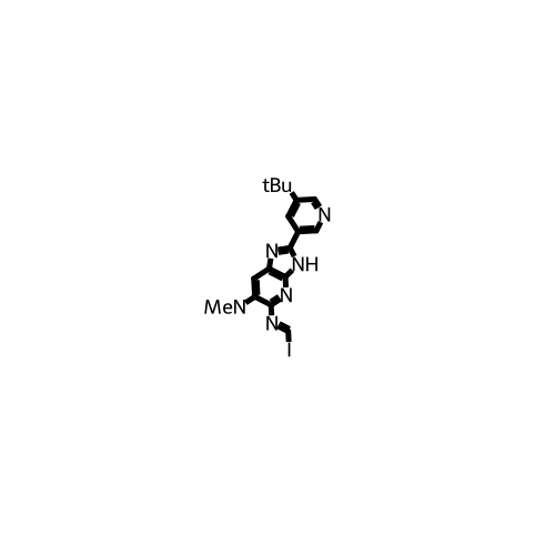 CNc1cc2nc(-c3cncc(C(C)(C)C)c3)[nH]c2nc1/N=C/I